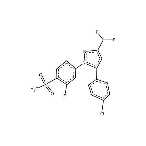 CS(=O)(=O)c1ccc(-n2nc(C(F)F)cc2-c2ccc(Cl)cc2)cc1F